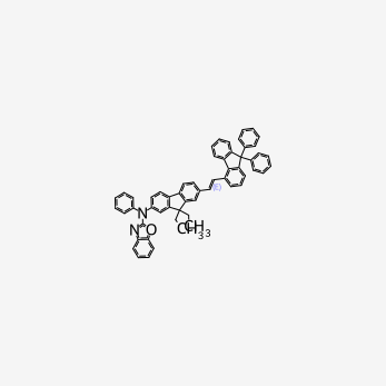 CCC1(CC)c2cc(/C=C/c3cccc4c3-c3ccccc3C4(c3ccccc3)c3ccccc3)ccc2-c2ccc(N(c3ccccc3)c3nc4ccccc4o3)cc21